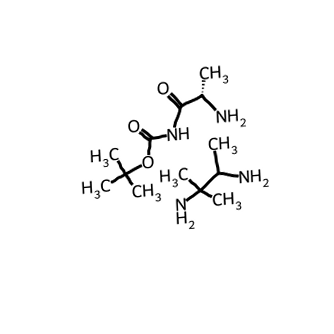 CC(N)C(C)(C)N.C[C@H](N)C(=O)NC(=O)OC(C)(C)C